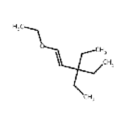 CCOC=CC(CC)(CC)CC